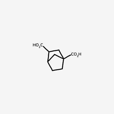 O=C(O)C1CC2(C(=O)O)CCC1C2